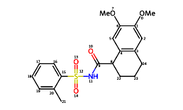 COc1cc2c(cc1OC)C(C(=O)NS(=O)(=O)c1ccccc1C)CCC2